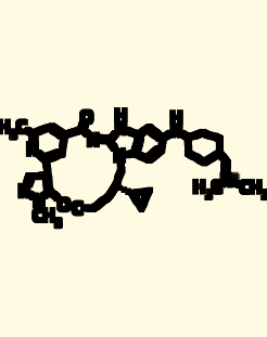 Cc1cc2cc(n1)-c1cnn(C)c1OCCC[C@@H](C1CC1)CN1/C(=N/C2=O)Nc2cc(NC3CCC(C=[N+](C)C)CC3)ccc21